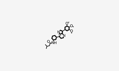 COc1cc(-c2cnn3c(-c4cccc(NC(=O)CC(C)C)c4)ccnc23)cc(OC)c1OC